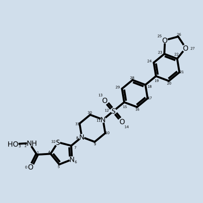 O=C(NO)c1cnc(N2CCN(S(=O)(=O)c3ccc(-c4ccc5c(c4)OCO5)cc3)CC2)s1